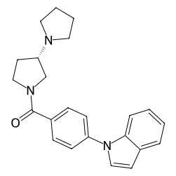 O=C(c1ccc(-n2ccc3ccccc32)cc1)N1CC[C@H](N2CCCC2)C1